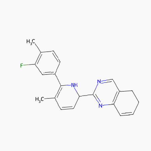 CC1=C(c2ccc(C)c(F)c2)NC(c2ncc3c(n2)C=CCC3)C=C1